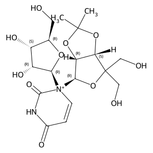 CC1(C)O[C@H]2[C@H]([N+]3([C@@H]4O[C@H](CO)[C@@H](O)[C@H]4O)C=CC(=O)NC3=O)OC(CO)(CO)[C@H]2O1